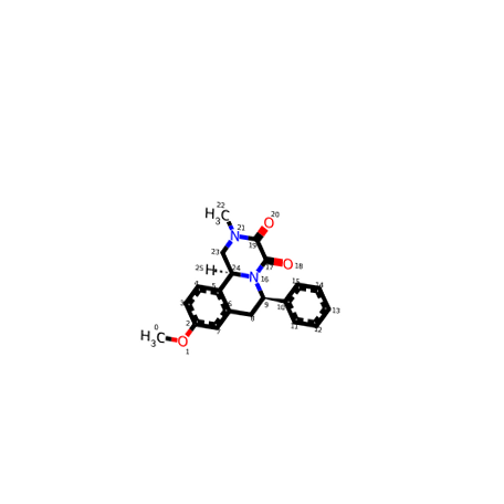 COc1ccc2c(c1)C[C@H](c1ccccc1)N1C(=O)C(=O)N(C)C[C@H]21